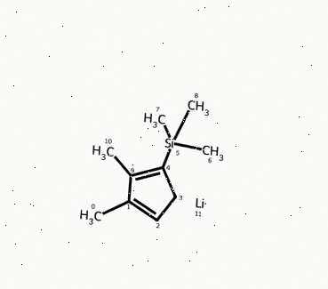 CC1=CCC([Si](C)(C)C)=C1C.[Li]